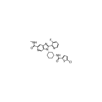 CNC(=O)c1cc2nc(-c3ncccc3F)n([C@H]3CCC[C@@H](NC(=O)c4ccc(Cl)s4)C3)c2cn1